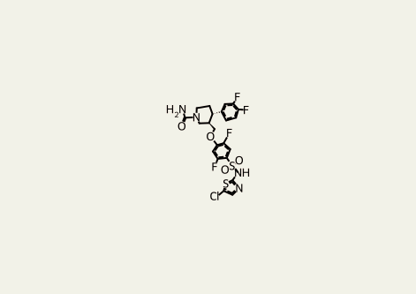 NC(=O)N1CC[C@H](c2ccc(F)c(F)c2)[C@@H](COc2cc(F)c(S(=O)(=O)Nc3ncc(Cl)s3)cc2F)C1